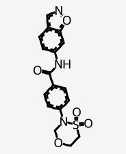 O=C(Nc1ccc2cnoc2c1)c1ccc(N2COCCS2(=O)=O)cc1